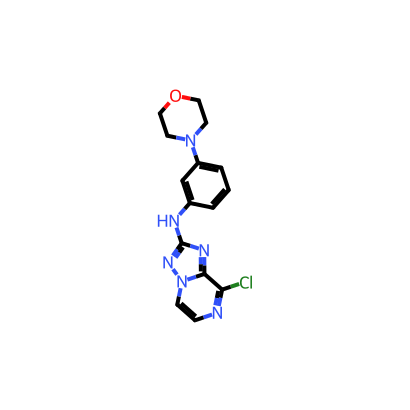 Clc1nccn2nc(Nc3cccc(N4CCOCC4)c3)nc12